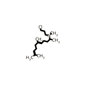 CC(C)=CCCC(C)=CCCC(C)N(C)CCCCl